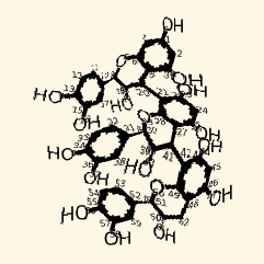 Oc1cc(O)c2c(c1)O[C@H](c1ccc(O)c(O)c1)[C@H](O)C2c1c(O)cc(O)c2c1O[C@H](c1ccc(O)c(O)c1)[C@H](O)C2c1c(O)cc(O)c2c1O[C@H](c1ccc(O)c(O)c1)[C@@H](O)C2